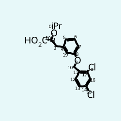 CC(C)O[C@@H](Cc1cccc(OCc2ccc(Cl)cc2Cl)c1)C(=O)O